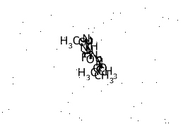 CCOc1ncccc1-c1ncc(F)c(C(=O)NC2CCN(C(=O)OC(C)(C)C)C2)n1